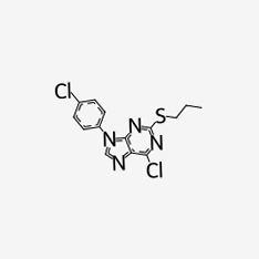 CCCSc1nc(Cl)c2ncn(-c3ccc(Cl)cc3)c2n1